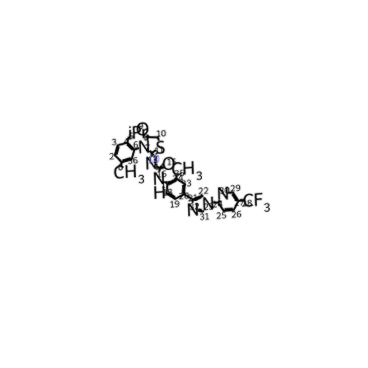 Cc1ccc(C(C)C)c(N2C(=O)CS/C2=N\C(=O)Nc2ccc(-c3cn(-c4ccc(C(F)(F)F)cn4)cn3)cc2C)c1